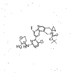 CC(C)(C)OC(=O)N1Cc2c(cnc3c(F)cc(-c4nc(N[C@@H]5CCOC[C@H]5O)ncc4Cl)cc23)CC12CC2